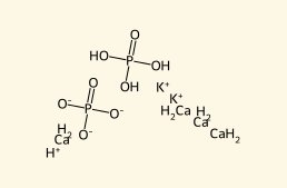 O=P(O)(O)O.O=P([O-])([O-])[O-].[CaH2].[CaH2].[CaH2].[CaH2].[H+].[K+].[K+]